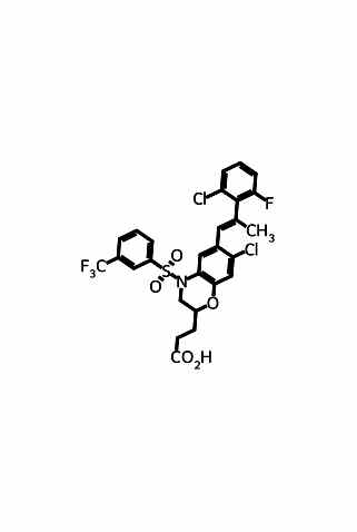 C/C(=C\c1cc2c(cc1Cl)OC(CCC(=O)O)CN2S(=O)(=O)c1cccc(C(F)(F)F)c1)c1c(F)cccc1Cl